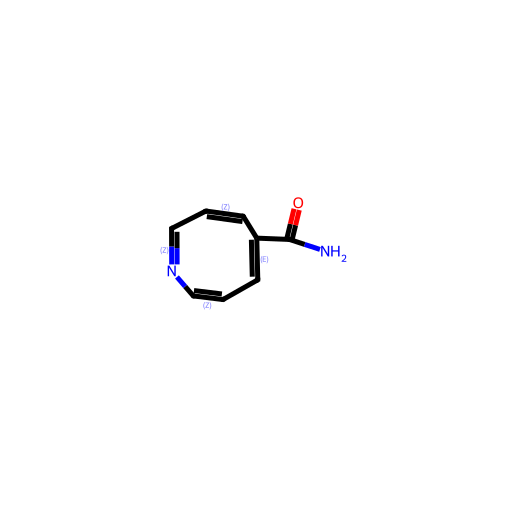 NC(=O)C1=C/C=C\N=C/C=C\1